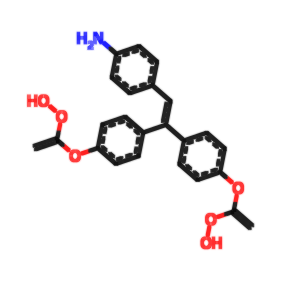 C=C(OO)Oc1ccc(C(=Cc2ccc(N)cc2)c2ccc(OC(=C)OO)cc2)cc1